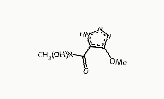 COc1nn[nH]c1C(=O)N(C)O